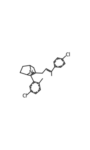 C/C(=C\CC1=C(c2cc(Cl)ccc2C)C2CCC(C1)N2C)c1ccc(Cl)cc1